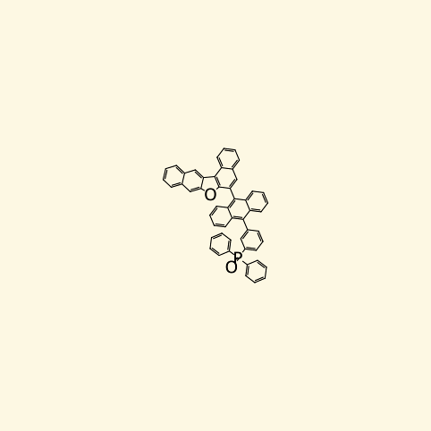 O=P(c1ccccc1)(c1ccccc1)c1cccc(-c2c3ccccc3c(-c3cc4ccccc4c4c3oc3cc5ccccc5cc34)c3ccccc23)c1